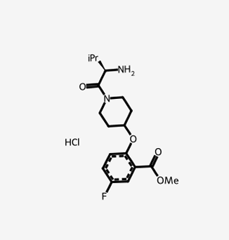 COC(=O)c1cc(F)ccc1OC1CCN(C(=O)[C@H](N)C(C)C)CC1.Cl